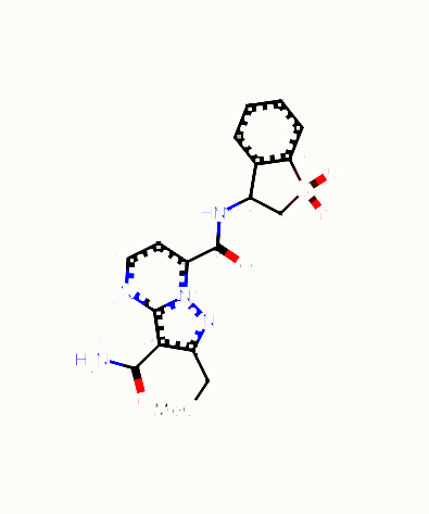 COCc1nn2c(C(=O)NC3CS(=O)(=O)c4ccccc43)ccnc2c1C(N)=O